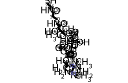 C=NC(=C(/N=C)N(C)[C@@H]1O[C@H](COP(=O)(O)OP(=O)(O)OCC(C)(C)C(O)C(=O)NCCC(=O)NCCS)[C@@H](OP(=O)(O)O)[C@H]1O)/C(N)=N\C